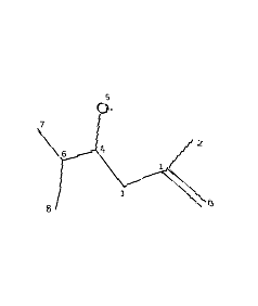 C=C(C)CC([O])C(C)C